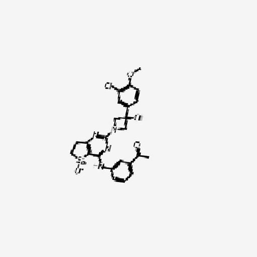 COc1ccc(C2(O)CN(c3nc4c(c(Nc5cccc(C(C)=O)c5)n3)[S@+]([O-])CC4)C2)cc1Cl